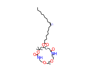 CCCCCCCC/C=C\CCCCCCCC(=O)OC1CCC(=O)NCCOCCOCCNC(=O)OC(C)(C)C1